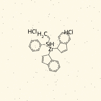 C=C[SiH](c1ccccc1)[Zr]([CH]1C=Cc2ccccc21)[CH]1C=Cc2ccccc21.Cl.Cl